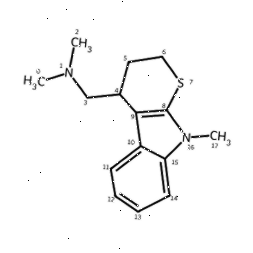 CN(C)CC1CCSc2c1c1ccccc1n2C